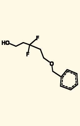 OCCC(F)(F)CCOCc1ccccc1